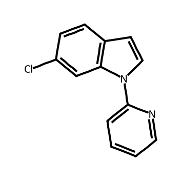 Clc1ccc2ccn(-c3ccccn3)c2c1